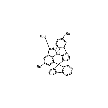 CC(C)(C)c1cc2c3c(c1)C1(c4ccccc4-c4ccccc41)c1cccc4c1[N+]3([n+]1ccc(C(C)(C)C)cc1-4)[n+]1ccc(C(C)(C)C)cc1-2